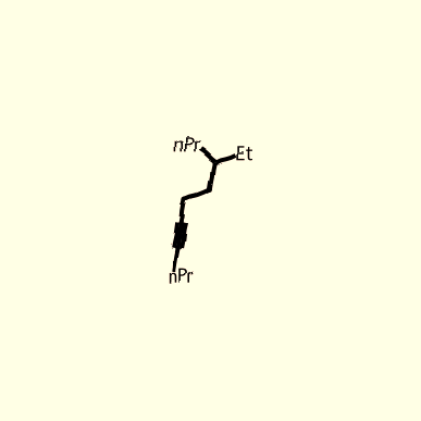 CCCC#CCCC(CC)CCC